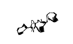 c1ccc(-c2nc3ccc(N4CCCCCC4)nc3o2)cc1